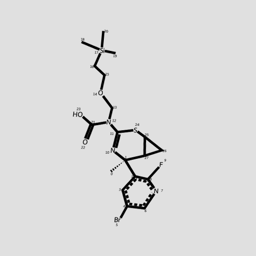 C[C@]1(c2cc(Br)cnc2F)N=C(N(COCC[Si](C)(C)C)C(=O)O)SC2CC21